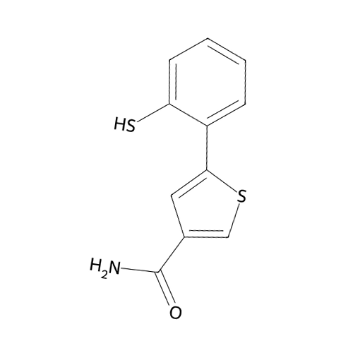 NC(=O)c1csc(-c2ccccc2S)c1